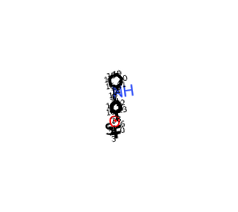 CC(C)(C)[Si](C)(C)OCc1ccc(CNC2CCCCCC2)cc1